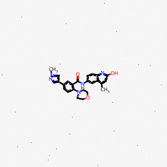 Cc1cc(O)nc2ccc(NC(=O)c3cc(-c4cnn(C)c4)ccc3N3CCOCC3)cc12